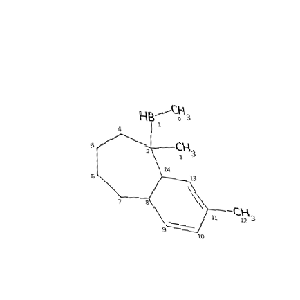 CBC1(C)CCCCC2C=CC(C)=CC21